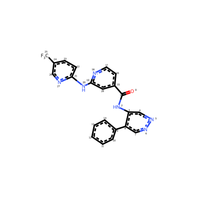 O=C(Nc1cnncc1-c1ccccc1)c1ccnc(Nc2ccc(C(F)(F)F)cn2)c1